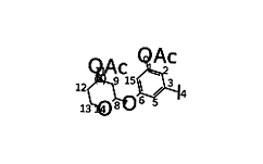 CC(=O)Oc1cc(I)cc(OC2C[C@@H](OC(C)=O)CCO2)c1